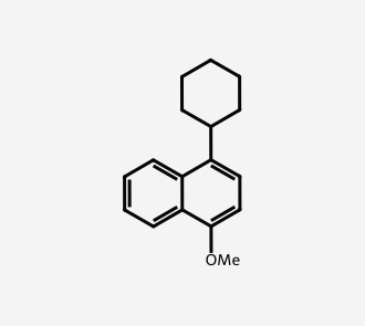 COc1ccc(C2CCCCC2)c2ccccc12